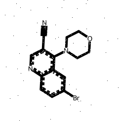 N#Cc1cnc2ccc(Br)cc2c1N1CCOCC1